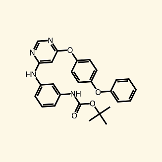 CC(C)(C)OC(=O)Nc1cccc(Nc2cc(Oc3ccc(Oc4ccccc4)cc3)ncn2)c1